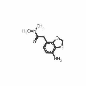 CN(C)C(=O)Cc1ccc(N)c2c1OCO2